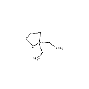 [CH2]CC1(CC)CCCO1